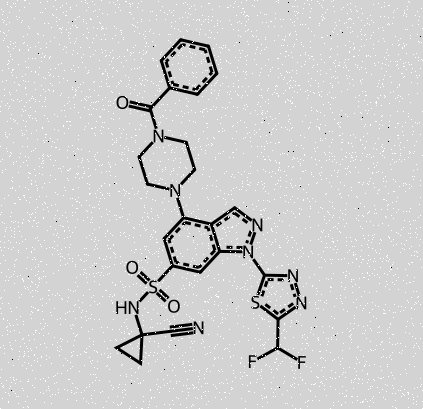 N#CC1(NS(=O)(=O)c2cc(N3CCN(C(=O)c4ccccc4)CC3)c3cnn(-c4nnc(C(F)F)s4)c3c2)CC1